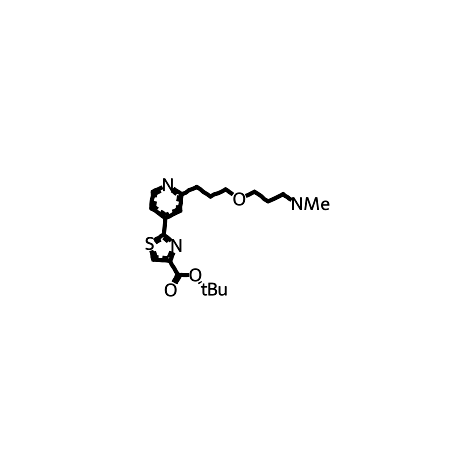 CNCCCOCCCc1cc(-c2nc(C(=O)OC(C)(C)C)cs2)ccn1